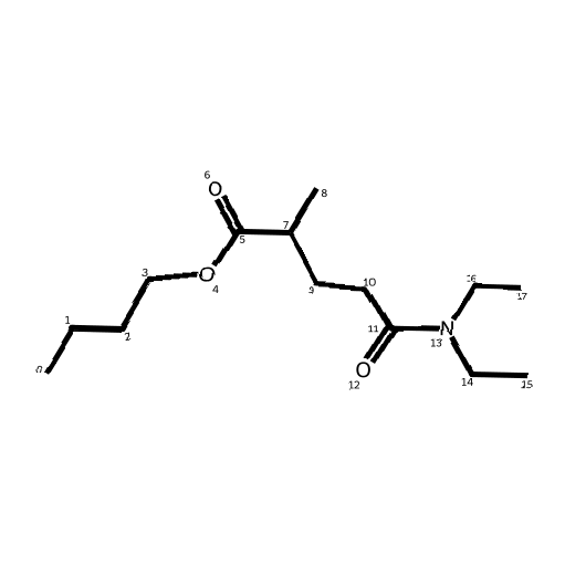 CCCCOC(=O)C(C)CCC(=O)N(CC)CC